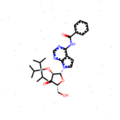 CC(C)[Si](O[C@@H]1C(=O)[C@@H](CO)O[C@H]1n1ccc2c(NC(=O)c3ccccc3)ncnc21)(C(C)C)C(C)C